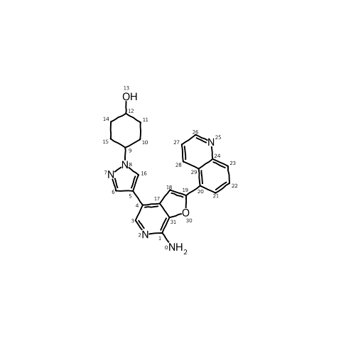 Nc1ncc(-c2cnn(C3CCC(O)CC3)c2)c2cc(-c3cccc4ncccc34)oc12